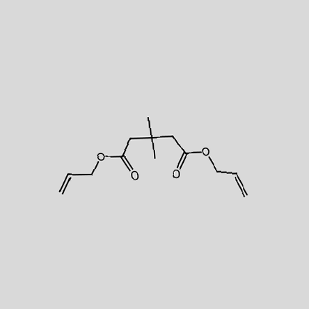 C=CCOC(=O)CC(C)(C)CC(=O)OCC=C